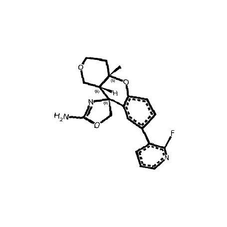 C[C@]12CCOC[C@H]1[C@]1(COC(N)=N1)c1cc(-c3cccnc3F)ccc1O2